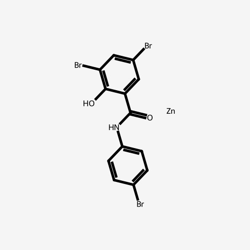 O=C(Nc1ccc(Br)cc1)c1cc(Br)cc(Br)c1O.[Zn]